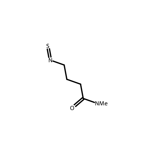 CNC(=O)CCCN=S